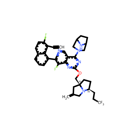 C#Cc1c(F)ccc2cccc(-c3ncc4c(N5CC6CCC(C5)N6)nc(OC[C@@]56CC[C@@H](CCC(F)(F)F)N5CC(=C)C6)nc4c3F)c12